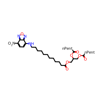 CCCCCC(=O)OCC(COC(=O)CCCCCCCCCCCNc1ccc([N+](=O)[O-])c2nonc12)OC(=O)CCCCC